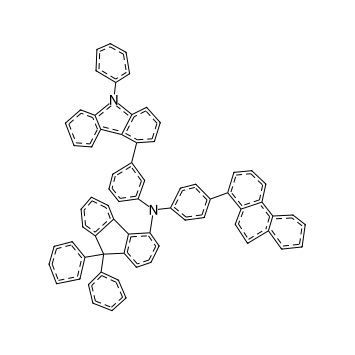 c1ccc(-n2c3ccccc3c3c(-c4cccc(N(c5ccc(-c6cccc7c6ccc6ccccc67)cc5)c5cccc6c5-c5ccccc5C6(c5ccccc5)c5ccccc5)c4)cccc32)cc1